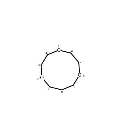 C1COCCOCCOC1